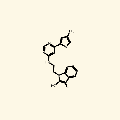 N#Cc1c(F)c2ccccc2n1CCNc1cc(-c2cc(C(F)(F)F)cs2)ncn1